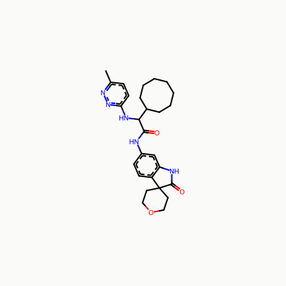 Cc1ccc(NC(C(=O)Nc2ccc3c(c2)NC(=O)C32CCOCC2)C2CCCCCCC2)nn1